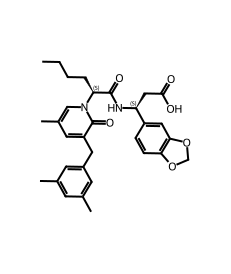 CCCC[C@@H](C(=O)N[C@@H](CC(=O)O)c1ccc2c(c1)OCO2)n1cc(C)cc(Cc2cc(C)cc(C)c2)c1=O